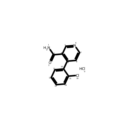 Cl.NC(=O)c1cnccc1-c1ccccc1Cl